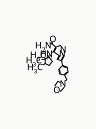 CC1CC[C@@H](Nc2c(C(N)=O)cnn3cc(-c4ccc(CN5CCOCC5)cc4)cc23)C1(C)C